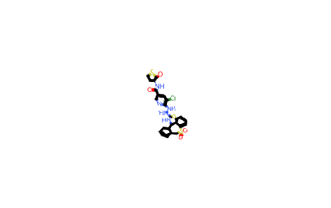 O=C(N[C@@H]1CCSC1=O)c1cnc(NNC(=S)NC2c3ccccc3CS(=O)(=O)c3ccccc32)c(Cl)c1